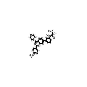 C[C@H](O)C(=O)Nc1cccc(-c2ccc3c(N4CCOCC4)nc(-c4cnc(N)nc4)nc3c2)c1